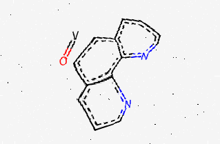 [O]=[V].c1cnc2c(c1)ccc1cccnc12